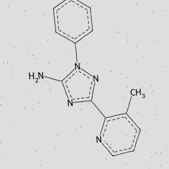 Cc1cccnc1-c1nc(N)n(-c2ccccc2)n1